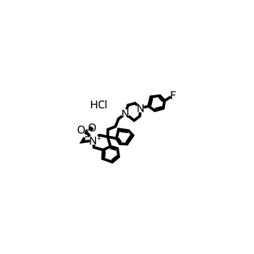 Cl.O=S1(=O)C[N+]12Cc1ccccc1C(CCCN1CCN(c3ccc(F)cc3)CC1)(c1ccccc1)C2